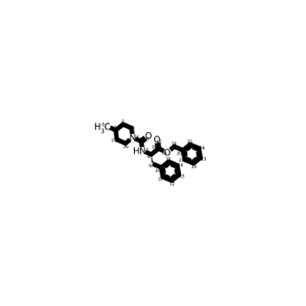 CC1CCN(C(=O)N[C@@H](Cc2ccccc2)C(=O)OCc2ccccc2)CC1